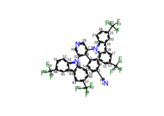 N#Cc1ccc(-c2c(-n3c4ccc(C(F)(F)F)cc4c4cc(C(F)(F)F)ccc43)cncc2-n2c3ccc(C(F)(F)F)cc3c3cc(C(F)(F)F)ccc32)cc1